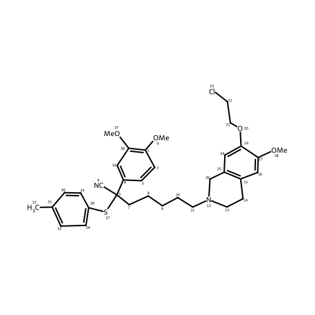 COc1ccc(C(C#N)(CCCCCN2CCc3cc(OC)c(OCCCl)cc3C2)Sc2ccc(C)cc2)cc1OC